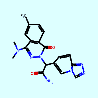 CN(C)c1nn(C(C(N)=O)c2ccc3nncn3c2)c(=O)c2ccc(C(F)(F)F)cc12